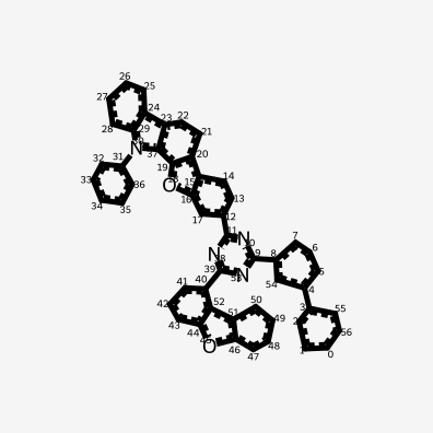 c1ccc(-c2cccc(-c3nc(-c4ccc5c(c4)oc4c5ccc5c6ccccc6n(-c6ccccc6)c54)nc(-c4cccc5oc6ccccc6c45)n3)c2)cc1